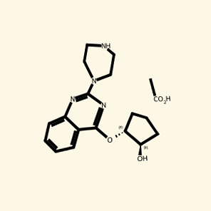 CC(=O)O.O[C@@H]1CCC[C@H]1Oc1nc(N2CCNCC2)nc2ccccc12